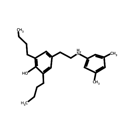 CCCCc1cc(CC[SiH2]c2cc(C)cc(C)c2)cc(CCCC)c1O